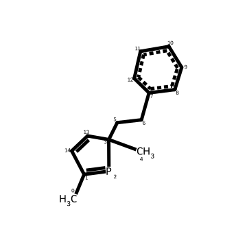 CC1=PC(C)(CCc2ccccc2)C=C1